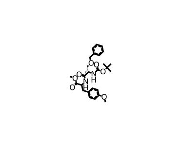 COC(=O)C(Cc1ccc(OC)cc1)NC(=O)[C@H](COCc1ccccc1)NC(=O)OC(C)(C)C